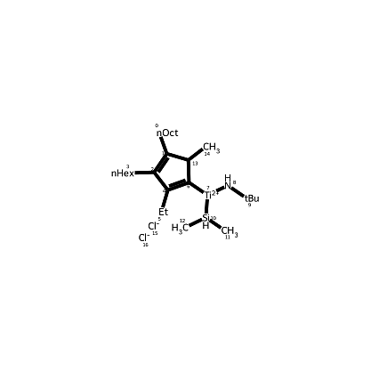 CCCCCCCCC1=C(CCCCCC)C(CC)=[C]([Ti+2]([NH]C(C)(C)C)[SiH](C)C)C1C.[Cl-].[Cl-]